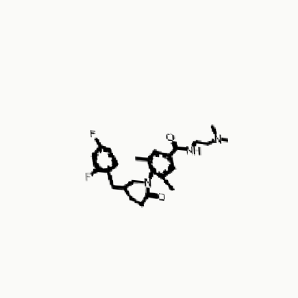 Cc1cc(C(=O)NCCN(C)C)cc(C)c1N1CC(Cc2ccc(F)cc2F)CCC1=O